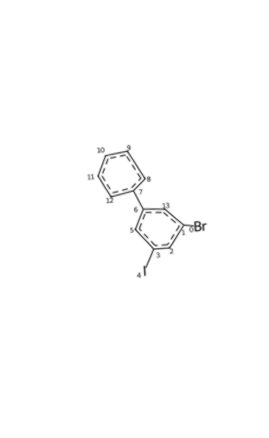 Brc1cc(I)cc(-c2ccccc2)c1